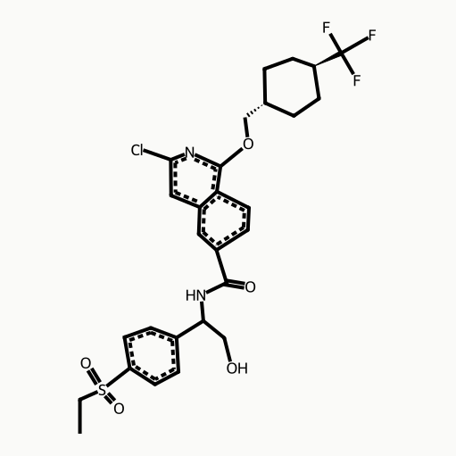 CCS(=O)(=O)c1ccc(C(CO)NC(=O)c2ccc3c(OC[C@H]4CC[C@H](C(F)(F)F)CC4)nc(Cl)cc3c2)cc1